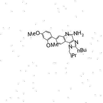 CCCCc1nc2c(N)nc3cc(-c4ccc(OC)cc4OC)ccc3c2n1CC(C)C